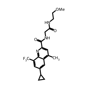 COCCNC(=O)CNC(=O)c1cc(C)c2cc(C3CC3)cc(C(F)(F)F)c2n1